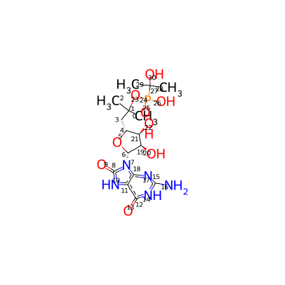 CC(C)(C[C@H]1O[C@@H](n2c(=O)[nH]c3c(=O)[nH]c(N)nc32)[C@H](O)[C@@H]1O)OP(=O)(O)C(C)(C)O